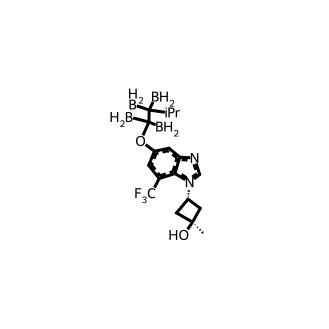 BC(B)(Oc1cc(C(F)(F)F)c2c(c1)ncn2[C@H]1C[C@](C)(O)C1)C(B)(B)C(C)C